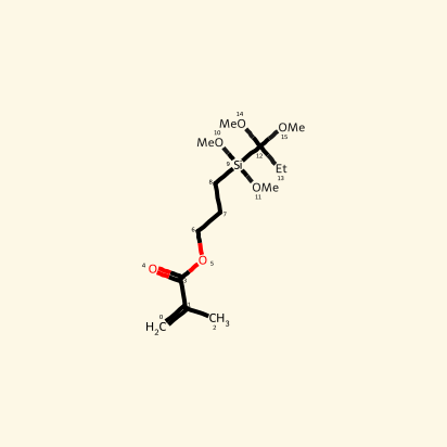 C=C(C)C(=O)OCCC[Si](OC)(OC)C(CC)(OC)OC